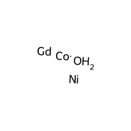 O.[Co].[Gd].[Ni]